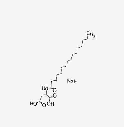 CCCCCCCCCCCCCCCC(=O)N[C@@H](CC(=O)O)C(=O)O.[NaH]